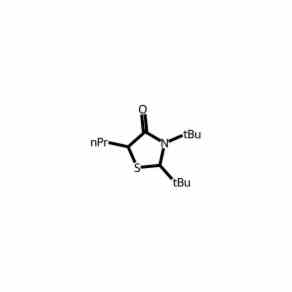 CCCC1SC(C(C)(C)C)N(C(C)(C)C)C1=O